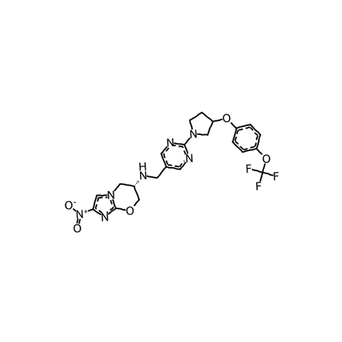 O=[N+]([O-])c1cn2c(n1)OC[C@@H](NCc1cnc(N3CCC(Oc4ccc(OC(F)(F)F)cc4)C3)nc1)C2